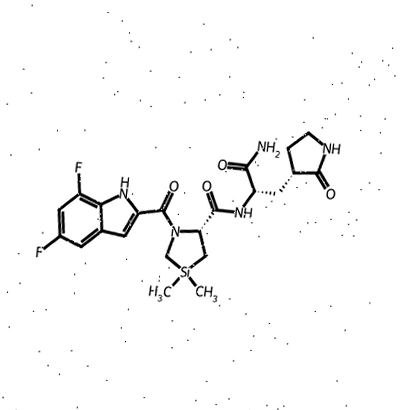 C[Si]1(C)C[C@@H](C(=O)N[C@@H](C[C@@H]2CCNC2=O)C(N)=O)N(C(=O)c2cc3cc(F)cc(F)c3[nH]2)C1